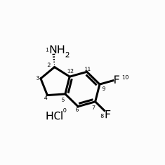 Cl.N[C@H]1CCc2cc(F)c(F)cc21